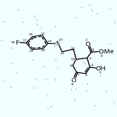 COC(=O)C1C(O)=CC(=O)CC1CCSc1ccc(F)cc1